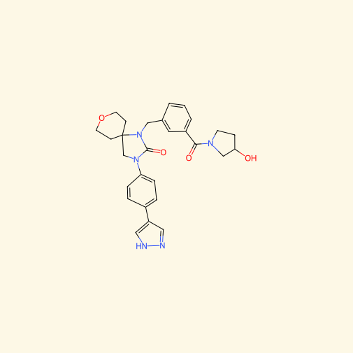 O=C(c1cccc(CN2C(=O)N(c3ccc(-c4cn[nH]c4)cc3)CC23CCOCC3)c1)N1CCC(O)C1